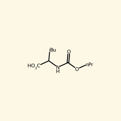 CCCOC(=O)NC(C(=O)O)C(C)CC